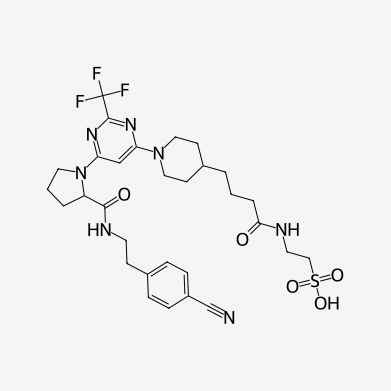 N#Cc1ccc(CCNC(=O)C2CCCN2c2cc(N3CCC(CCCC(=O)NCCS(=O)(=O)O)CC3)nc(C(F)(F)F)n2)cc1